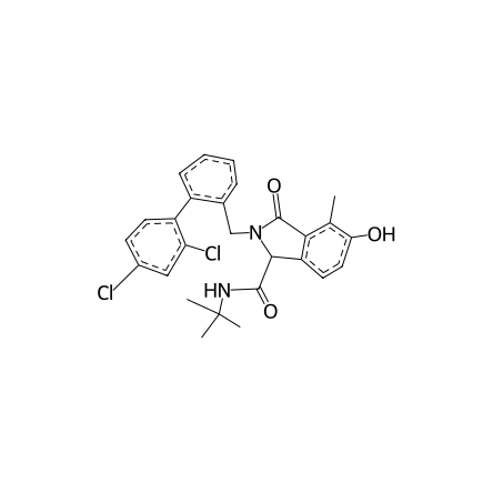 Cc1c(O)ccc2c1C(=O)N(Cc1ccccc1-c1ccc(Cl)cc1Cl)C2C(=O)NC(C)(C)C